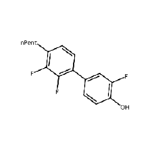 CCCCCc1ccc(-c2ccc(O)c(F)c2)c(F)c1F